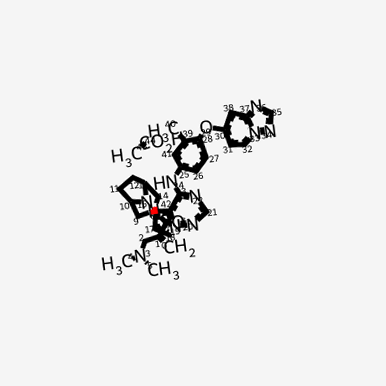 C=C(CN(C)C)C(=O)N1CC2CCC(C1)N2c1ccn2ncnc(Nc3ccc(Oc4ccn5ncnc5c4)c(C)c3)c12.CC(=O)O